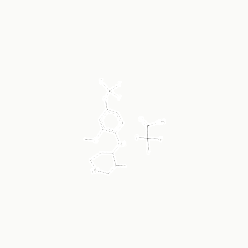 COc1cc(OC(F)(F)F)ccc1NC1CCNCC1C.O=C(O)C(F)(F)F